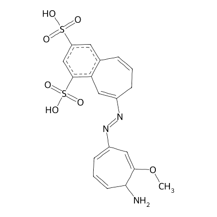 COC1=CC(N=NC2=Cc3c(cc(S(=O)(=O)O)cc3S(=O)(=O)O)C=CC2)=CC=CC1N